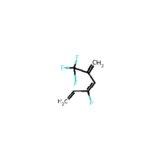 C=C/C(F)=C\C(=C)C(F)(F)F